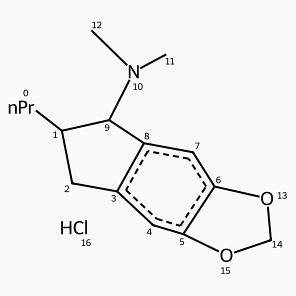 CCCC1Cc2cc3c(cc2C1N(C)C)OCO3.Cl